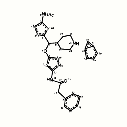 CC(=O)Nc1nnc(C(Oc2nnc(NC(=O)Cc3ccccc3)s2)C2CCNCC2)s1.c1cc2cc-2c1